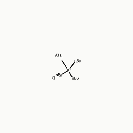 CCCC[P+](C)(CCCC)CCCC.[AlH3].[Cl-]